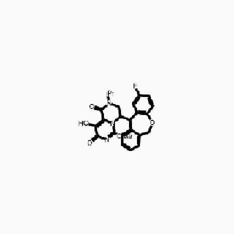 COc1nc(=O)c(O)c2n1C(C1c3ccccc3COc3ccc(F)cc31)CN(C(C)C)C2=O